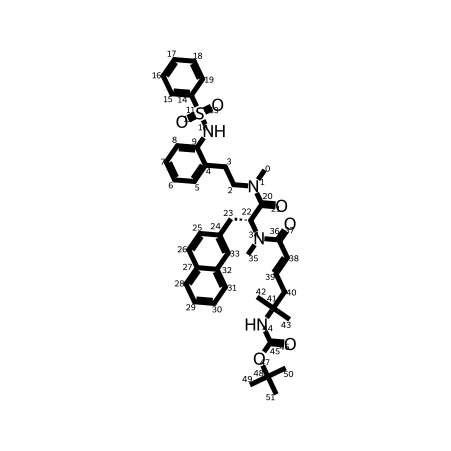 CN(CCc1ccccc1NS(=O)(=O)c1ccccc1)C(=O)[C@@H](Cc1ccc2ccccc2c1)N(C)C(=O)/C=C/CC(C)(C)NC(=O)OC(C)(C)C